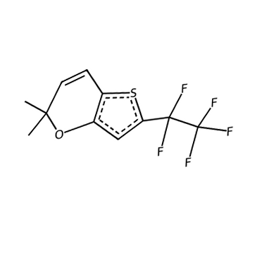 CC1(C)C=Cc2sc(C(F)(F)C(F)(F)F)cc2O1